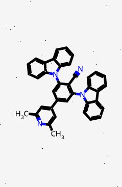 Cc1cc(-c2cc(-n3c4ccccc4c4ccccc43)c(C#N)c(-n3c4ccccc4c4ccccc43)c2)cc(C)n1